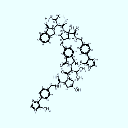 Cc1ncsc1-c1ccc(CNC(=N)[C@@H]2C[C@@H](O)CN2C(=O)[C@H](C(C)C)N2Cc3ccc(O[C@H]4CN(C(=O)[C@H](C(C)C)N5Cc6ccccc6C5=O)C(C)(C(=O)NCc5ccc(-c6scnc6C)cc5)C4)cc3C2=O)cc1